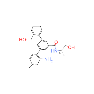 Cc1ccc(-c2cc(C(=O)N[C@@H](C)CO)cc(-c3ccccc3CO)c2)c(N)c1